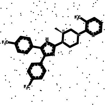 C[C@@H]1CN(c2ncccc2C(F)(F)F)CCN1c1nc(-c2ccc(C(F)(F)F)cc2)c(-c2ccc(C(F)(F)F)cc2)[nH]1